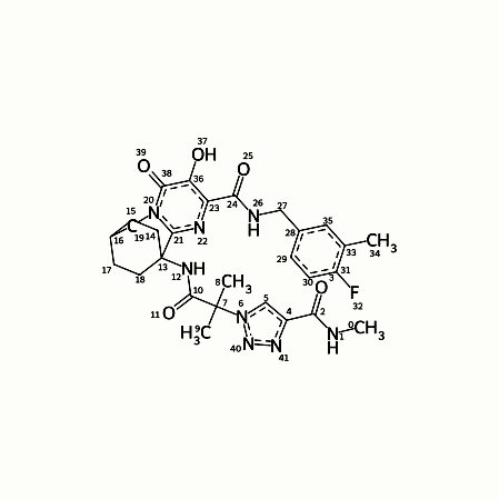 CNC(=O)c1cn(C(C)(C)C(=O)NC23CCC(CC2)Cn2c3nc(C(=O)NCc3ccc(F)c(C)c3)c(O)c2=O)nn1